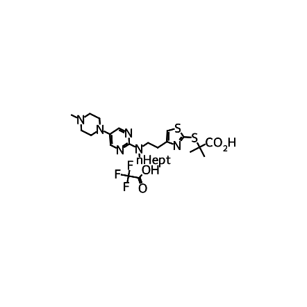 CCCCCCCN(CCc1csc(SC(C)(C)C(=O)O)n1)c1ncc(N2CCN(C)CC2)cn1.O=C(O)C(F)(F)F